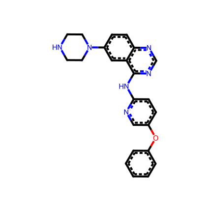 c1ccc(Oc2ccc(Nc3ncnc4ccc(N5CCNCC5)cc34)nc2)cc1